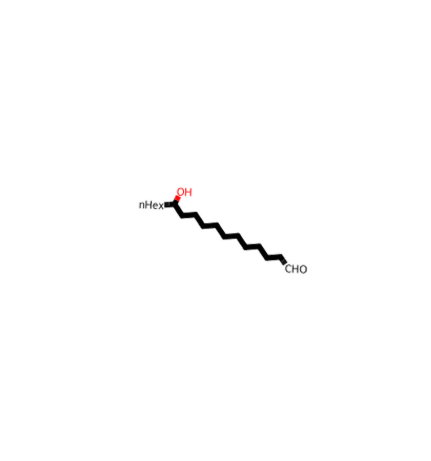 CCCCCCC(O)CCCCCCCCCCC=O